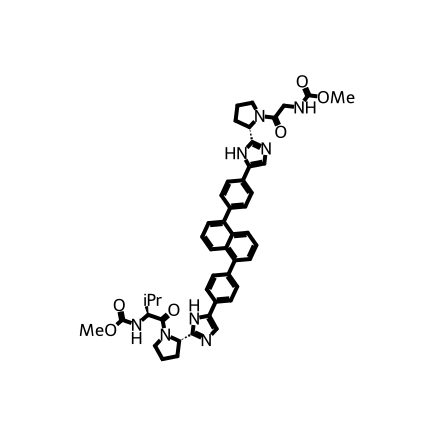 COC(=O)NCC(=O)N1CCC[C@H]1c1ncc(-c2ccc(-c3cccc4c(-c5ccc(-c6cnc([C@@H]7CCCN7C(=O)[C@@H](NC(=O)OC)C(C)C)[nH]6)cc5)cccc34)cc2)[nH]1